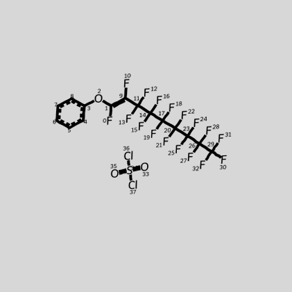 FC(Oc1ccccc1)=C(F)C(F)(F)C(F)(F)C(F)(F)C(F)(F)C(F)(F)C(F)(F)C(F)(F)F.O=S(=O)(Cl)Cl